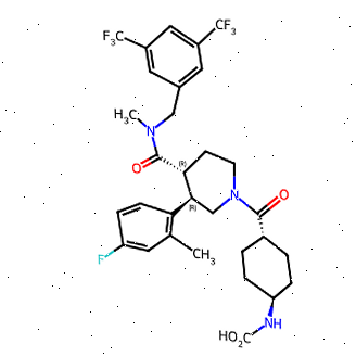 Cc1cc(F)ccc1[C@@H]1CN(C(=O)[C@H]2CC[C@H](NC(=O)O)CC2)CC[C@H]1C(=O)N(C)Cc1cc(C(F)(F)F)cc(C(F)(F)F)c1